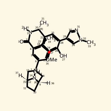 [2H]N(C(=O)c1cc(N2C[C@H]3CC[C@@H](C2)N3C)ccc1C)[C@H](C)c1cc(OC)c(O)c(-c2cnn(C)c2)c1